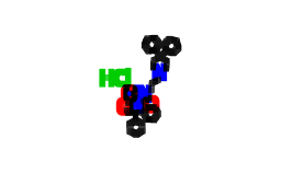 Cl.O=C(NCCCN1CCC(c2ccccc2)(c2ccccc2)CC1)N1C(=O)OCC1(c1ccccc1)c1ccccc1